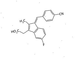 CC1=C(CC(=O)O)c2cc(F)ccc2C1=Cc1ccc(C#N)cc1